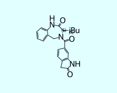 CC[C@H](C)[C@H]1C(=O)Nc2ccccc2CN1C(=O)c1ccc2c(c1)NC(=O)C2